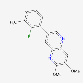 COc1cc2ncc(-c3cc[c]c(C)c3F)cc2nc1OC